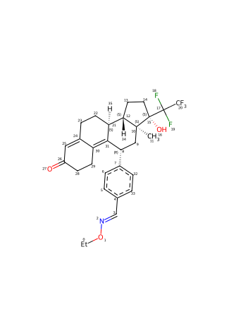 CCON=Cc1ccc([C@H]2C[C@@]3(C)[C@@H](CC[C@@]3(O)C(F)(F)C(F)(F)F)[C@@H]3CCC4=CC(=O)CCC4=C32)cc1